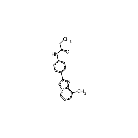 CCC(=O)Nc1ccc(-c2cn3cccc(C)c3n2)cc1